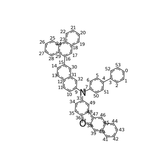 c1ccc(-c2ccc(N(c3ccc4ccc(-c5cc6ccccc6c6ccccc56)cc4c3)c3ccc4oc5cc6ccccc6cc5c4c3)cc2)cc1